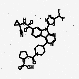 N#CC1(NS(=O)(=O)c2ccc3c4c(C5CCN(C(=O)C6CCCN6C(=O)O)CC5)ncnc4n(-c4nnc(C(F)F)s4)c3c2)CC1